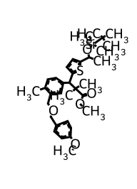 COC(=O)C(C)(C)C(c1ccc(C)c(COCc2ccc(OC)cc2)c1)c1ccc(C(C)O[Si](C)(C)C(C)(C)C)s1